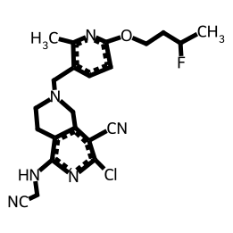 Cc1nc(OCCC(C)F)ccc1CN1CCc2c(NCC#N)nc(Cl)c(C#N)c2C1